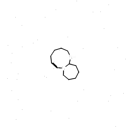 C1=CN2CCCCCC2NCCCC1